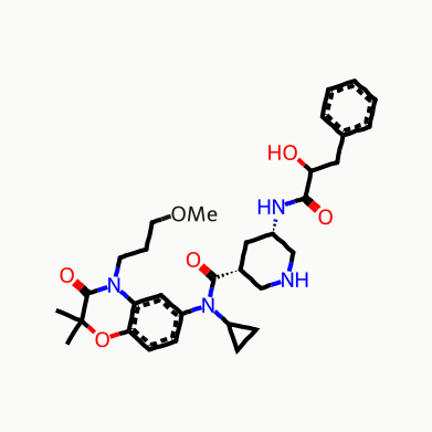 COCCCN1C(=O)C(C)(C)Oc2ccc(N(C(=O)[C@H]3CNC[C@@H](NC(=O)C(O)Cc4ccccc4)C3)C3CC3)cc21